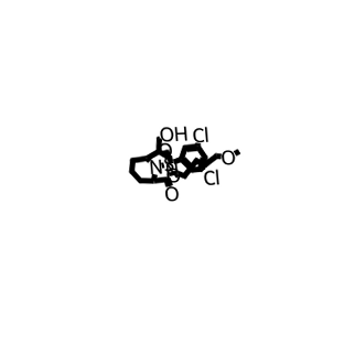 COCCCCN1CC(CO)C2CCCC(C1=O)N2S(=O)(=O)c1cc(Cl)cc(Cl)c1